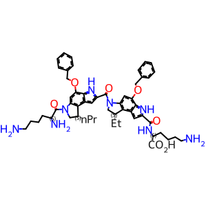 CCC[C@@H]1CN(C(=O)[C@@H](N)CCCCN)c2cc(OCc3ccccc3)c3[nH]c(C(=O)N4C[C@@H](CC)c5c4cc(OCc4ccccc4)c4[nH]c(C(=O)N[C@@H](CCCCN)C(=O)O)cc54)cc3c21